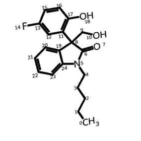 CCCCCN1C(=O)C(CO)(c2cc(F)ccc2O)c2ccccc21